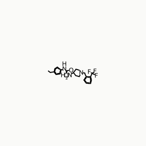 CCc1ccc(NC(=O)OC2(N)CCN(Cc3ccccc3C(F)(F)F)CC2)cc1